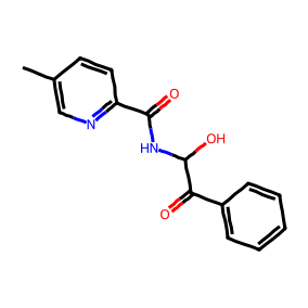 Cc1ccc(C(=O)NC(O)C(=O)c2ccccc2)nc1